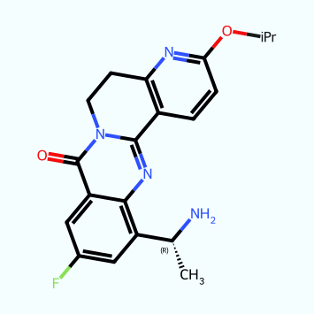 CC(C)Oc1ccc2c(n1)CCn1c-2nc2c([C@@H](C)N)cc(F)cc2c1=O